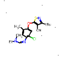 CCN(C)/C=N\c1cc(C)c(Oc2snc(C(C)(C)C)c2C#N)cc1Cl